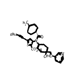 CC(C)(C)C#Cc1cc(N(C(=O)[C@H]2CC[C@H](C)CC2)C2CCC(O)(COc3cccnc3)CC2)c(C(=O)O)s1